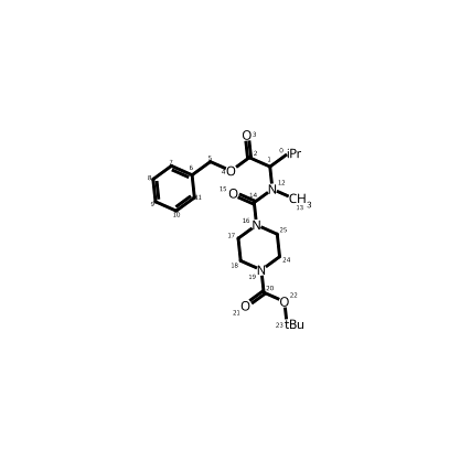 CC(C)C(C(=O)OCc1ccccc1)N(C)C(=O)N1CCN(C(=O)OC(C)(C)C)CC1